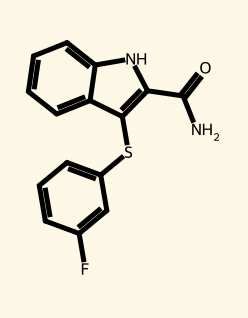 NC(=O)c1[nH]c2ccccc2c1Sc1cccc(F)c1